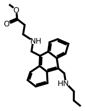 CCCNCc1c2ccccc2c(CNCCC(=O)OC)c2ccccc12